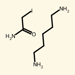 NC(=O)CI.NCCCCCN